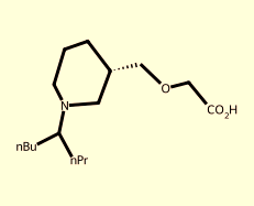 CCCCC(CCC)N1CCC[C@H](COCC(=O)O)C1